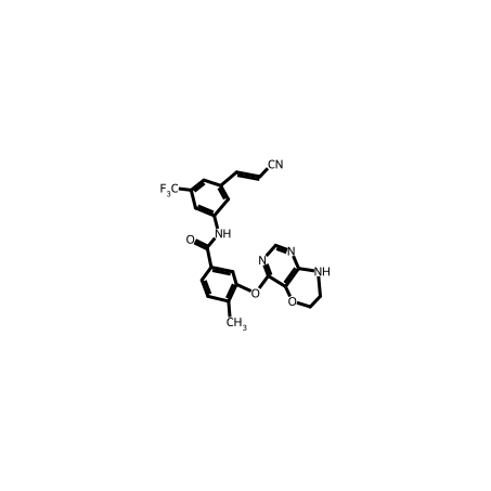 Cc1ccc(C(=O)Nc2cc(C=CC#N)cc(C(F)(F)F)c2)cc1Oc1ncnc2c1OCCN2